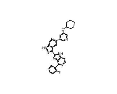 Fc1ccccc1-c1nccc2[nH]c(-c3n[nH]c4cnc(-c5cncc(OC6CCCCC6)c5)cc34)nc12